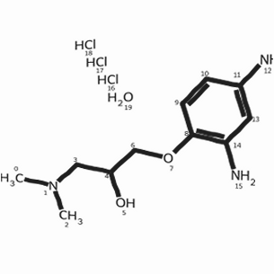 CN(C)CC(O)COc1ccc(N)cc1N.Cl.Cl.Cl.O